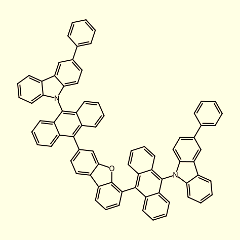 c1ccc(-c2ccc3c(c2)c2ccccc2n3-c2c3ccccc3c(-c3ccc4c(c3)oc3c(-c5c6ccccc6c(-n6c7ccccc7c7cc(-c8ccccc8)ccc76)c6ccccc56)cccc34)c3ccccc23)cc1